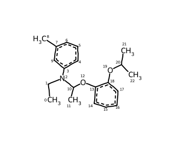 CCN(c1cccc(C)c1)C(C)Oc1ccccc1OC(C)C